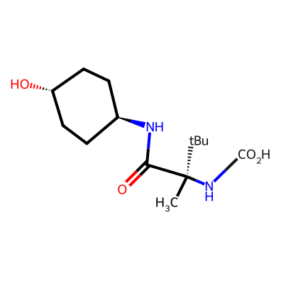 CC(C)(C)[C@@](C)(NC(=O)O)C(=O)N[C@H]1CC[C@H](O)CC1